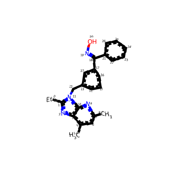 CCc1nc2c(C)cc(C)nc2n1Cc1cccc(C(=NO)c2ccccc2)c1